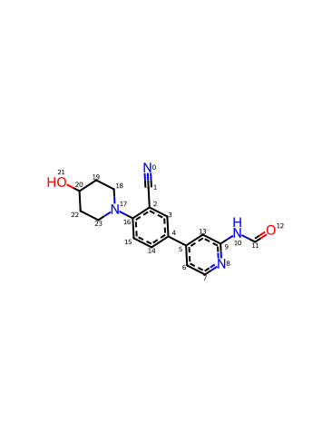 N#Cc1cc(-c2ccnc(NC=O)c2)ccc1N1CCC(O)CC1